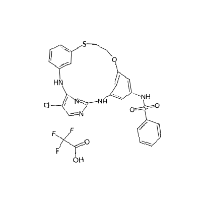 O=C(O)C(F)(F)F.O=S(=O)(Nc1cc2cc(c1)OCCSc1cccc(c1)Nc1nc(ncc1Cl)N2)c1ccccc1